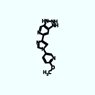 COc1ccc(-n2cnc(-c3cc4c(cn3)NNN4)c2)cn1